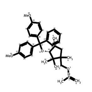 C=[PH](C)OCC1(C)C[C@@H](C)[C@@H](OC(c2ccccc2)(c2ccc(OC)cc2)c2ccc(OC)cc2)C1(C)C